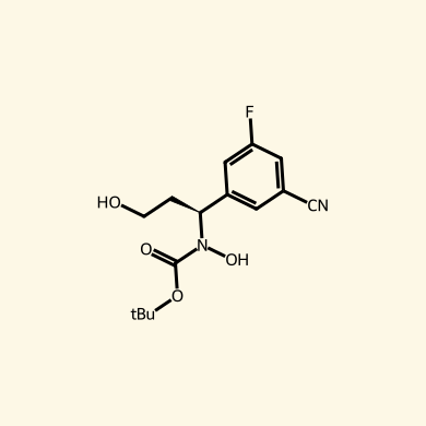 CC(C)(C)OC(=O)N(O)[C@@H](CCO)c1cc(F)cc(C#N)c1